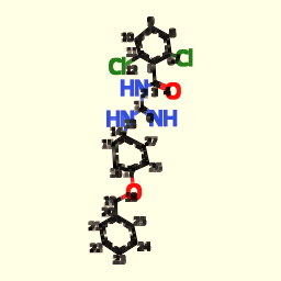 N=C(NC(=O)c1c(Cl)cccc1Cl)Nc1ccc(OCc2ccccc2)cc1